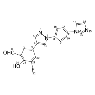 O=Cc1cc(-c2cnn(-c3ccc(-n4ccnc4)cc3)c2)cc(F)c1O